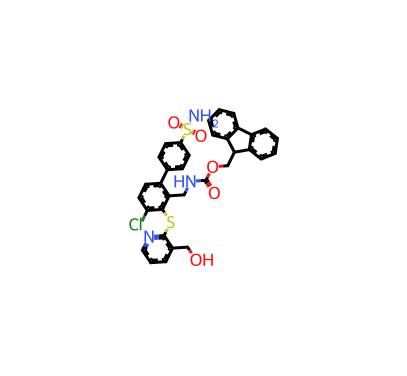 NS(=O)(=O)c1ccc(-c2ccc(Cl)c(Sc3ncccc3CO)c2CNC(=O)OCC2c3ccccc3-c3ccccc32)cc1